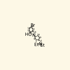 CCN(CC)Cc1ccc(N=Cc2cc(Br)ccc2O)cc1